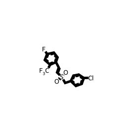 O=S(=O)(C=Cc1ccc(F)cc1C(F)(F)F)Cc1ccc(Cl)cc1